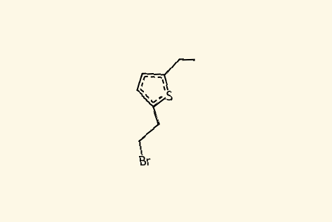 CCc1ccc(CCBr)s1